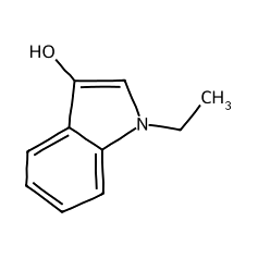 CCn1cc(O)c2ccccc21